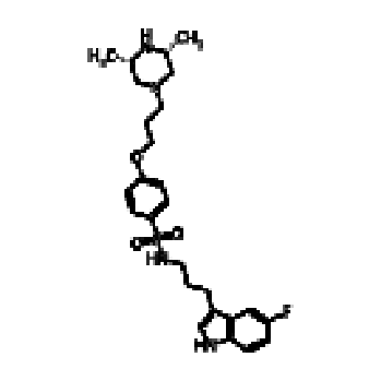 C[C@@H]1CN(CCCOc2ccc(S(=O)(=O)NCCCc3c[nH]c4ccc(F)cc34)cc2)C[C@H](C)N1